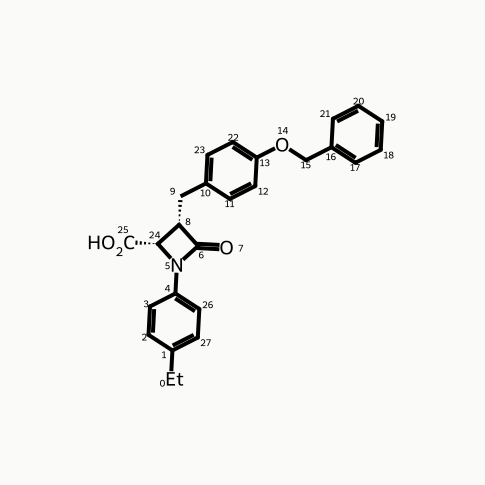 CCc1ccc(N2C(=O)[C@@H](Cc3ccc(OCc4ccccc4)cc3)[C@H]2C(=O)O)cc1